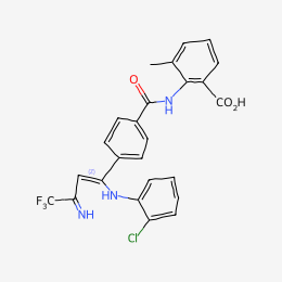 Cc1cccc(C(=O)O)c1NC(=O)c1ccc(/C(=C/C(=N)C(F)(F)F)Nc2ccccc2Cl)cc1